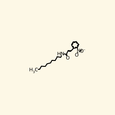 CCCCCCCCCCNC(=O)C=Cc1ccccc1[N+](=O)[O-]